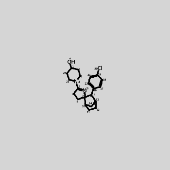 OC1CCN(C2=NC3(CC2)C2CCC(C2)C3c2ccc(Cl)cc2)CC1